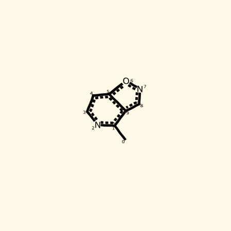 Cc1nccc2oncc12